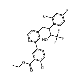 CCOC(=O)c1cc(-c2cc(CC(c3ccc(F)cc3Cl)C(O)C(F)(F)F)ccn2)ccc1Cl